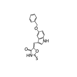 O=C1NC(=S)OC1=Cc1c[nH]c2ccc(OCc3ccccc3)cc12